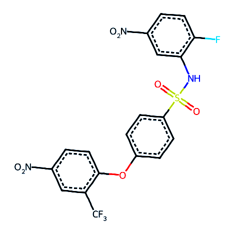 O=[N+]([O-])c1ccc(F)c(NS(=O)(=O)c2ccc(Oc3ccc([N+](=O)[O-])cc3C(F)(F)F)cc2)c1